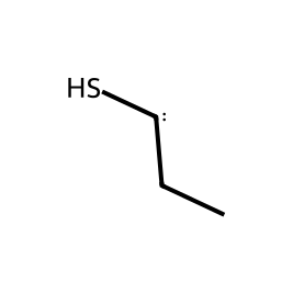 CC[C]S